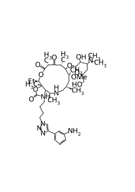 CC[C@H]1OC(=O)[C@H](C)C(=O)[C@H](C)[C@@H](O[C@@H]2OC(CO)CC(N(C)C)C2O)[C@](C)(OC)C[C@@H](C)CN[C@H](C)[C@H]2N(CCCCn3cc(-c4cccc(N)c4)nn3)C(=O)O[C@]12C